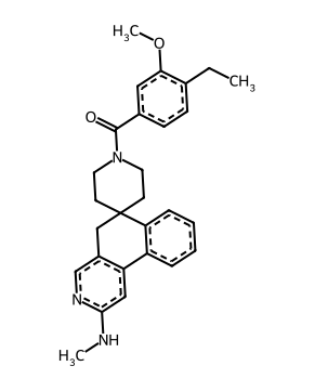 CCc1ccc(C(=O)N2CCC3(CC2)Cc2cnc(NC)cc2-c2ccccc23)cc1OC